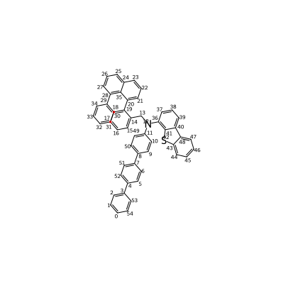 c1ccc(-c2ccc(-c3ccc(N(Cc4ccccc4-c4cccc5cccc(-c6ccccc6)c45)c4cccc5c4sc4ccccc45)cc3)cc2)cc1